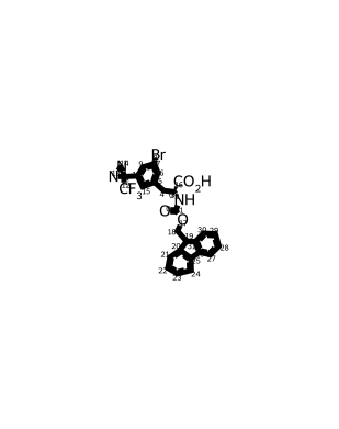 O=C(N[C@@H](Cc1cc(Br)cc(C2(C(F)(F)F)N=N2)c1)C(=O)O)OCC1c2ccccc2-c2ccccc21